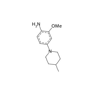 COc1cc(N2CCC(C)CC2)ccc1N